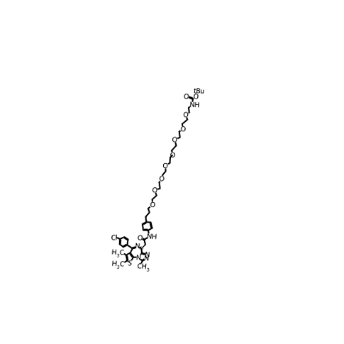 Cc1sc2c(c1C)C(c1ccc(Cl)cc1)=N[C@@H](CC(=O)Nc1ccc(CCCOCCOCCOCCOCCOCCOCCOCCOCCNC(=O)OC(C)(C)C)cc1)c1nnc(C)n1-2